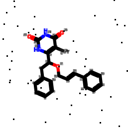 CC(C)c1c(C(Cc2ccccc2)OC/C=C/c2ccccc2)[nH]c(=O)[nH]c1=O